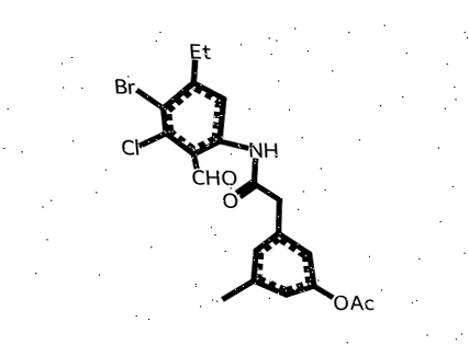 CCc1cc(NC(=O)Cc2cc(C)cc(OC(C)=O)c2)c(C=O)c(Cl)c1Br